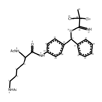 CC(=O)NCCCCC(NC(C)=O)C(=O)Nc1ccc(C(OC(=N)C(C)(Cl)Cl)c2ccccc2)cc1